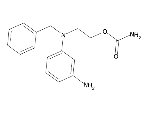 NC(=O)OCCN(Cc1ccccc1)c1cccc(N)c1